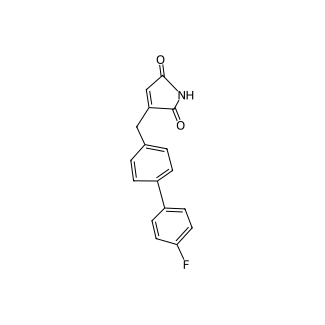 O=C1C=C(Cc2ccc(-c3ccc(F)cc3)cc2)C(=O)N1